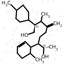 C=C(CCC(C1C=CCCC1C)[C@H](C)O)C(C)[C@@H](CO)C1CCC(C)CC1